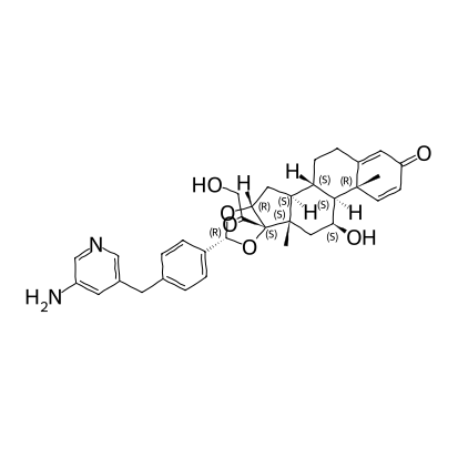 C[C@]12C=CC(=O)C=C1CC[C@@H]1[C@@H]2[C@@H](O)C[C@@]2(C)[C@H]1C[C@H]1O[C@@H](c3ccc(Cc4cncc(N)c4)cc3)O[C@]12C(=O)CO